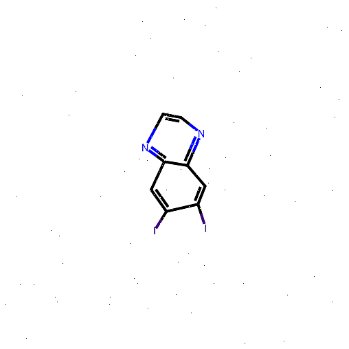 Ic1cc2nccnc2cc1I